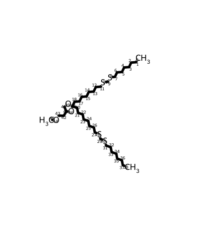 CCCCCCCCSCSCCCCCCCCC1(CCCCCCCCSCSCCCCCCCC)OCC(CCOC)O1